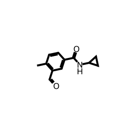 Cc1ccc(C(=O)NC2CC2)cc1C=O